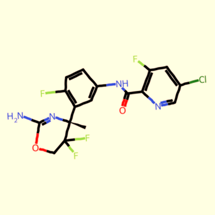 C[C@]1(c2cc(NC(=O)c3ncc(Cl)cc3F)ccc2F)N=C(N)OCC1(F)F